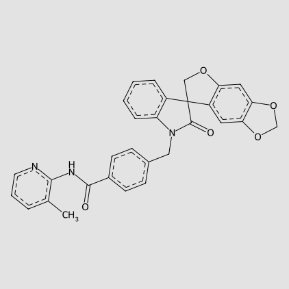 Cc1cccnc1NC(=O)c1ccc(CN2C(=O)C3(COc4cc5c(cc43)OCO5)c3ccccc32)cc1